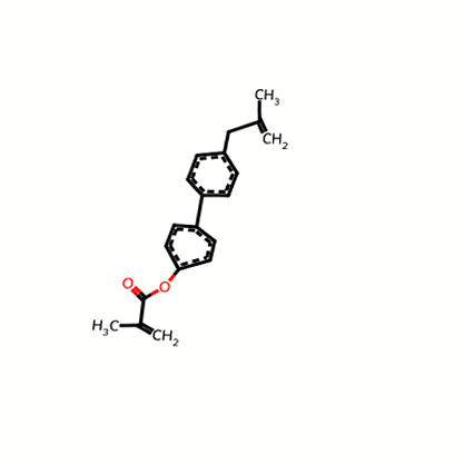 C=C(C)Cc1ccc(-c2ccc(OC(=O)C(=C)C)cc2)cc1